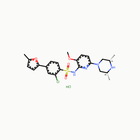 COc1ccc(N2C[C@@H](C)N[C@@H](C)C2)nc1NS(=O)(=O)c1ccc(-c2ccc(C)o2)cc1Cl.Cl